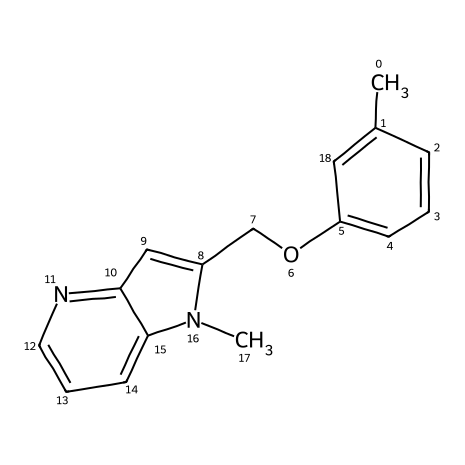 Cc1cccc(OCc2cc3ncccc3n2C)c1